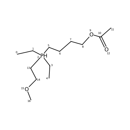 CC[PH](CC)(CCCCOC(C)=O)CCOC